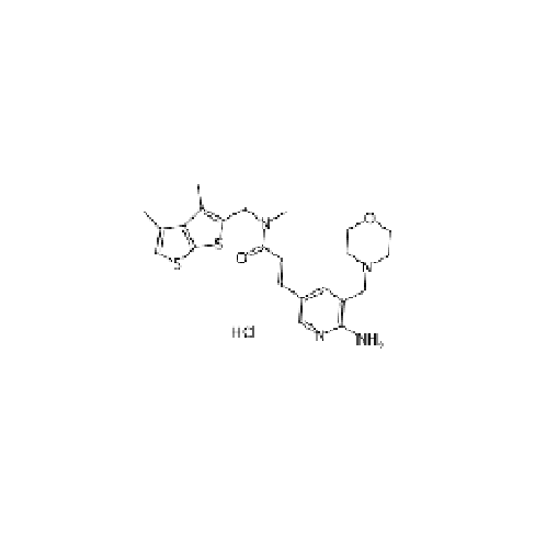 Cc1csc2sc(CN(C)C(=O)/C=C/c3cnc(N)c(CN4CCOCC4)c3)c(C)c12.Cl